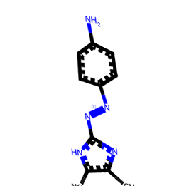 N#Cc1nc(/N=N/c2ccc(N)cc2)[nH]c1C#N